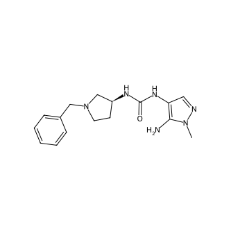 Cn1ncc(NC(=O)N[C@H]2CCN(Cc3ccccc3)C2)c1N